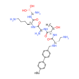 CCCCc1ccc(-c2ccc(CN[C@@H](CCN)C(=O)N[C@H](C(=O)N[C@@H](N)C(=O)N[C@@H](CCCCN)C(=O)N[C@@H](N)B(O)O)[C@@H](C)O)cc2)cc1